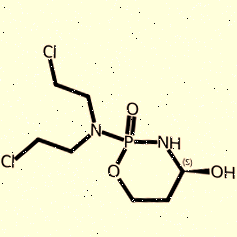 O=P1(N(CCCl)CCCl)N[C@@H](O)CCO1